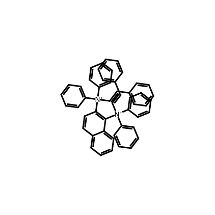 C(=C[N+](c1ccccc1)(c1ccccc1)c1ccc2ccccc2c1[N+](C=Cc1ccccc1)(c1ccccc1)c1ccccc1)c1ccccc1